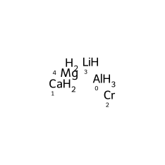 [AlH3].[CaH2].[Cr].[LiH].[MgH2]